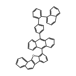 c1ccc(-c2cccc3ccccc23)c(-c2ccc(-c3c4ccccc4c(-c4cccc5c4oc4c6ccccc6ccc54)c4ccccc34)cc2)c1